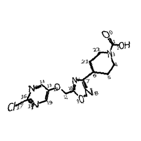 O=C(O)N1CCC(c2noc(COc3cnc(Cl)nc3)n2)CC1